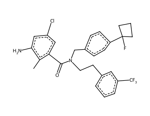 Cc1c(N)cc(Cl)cc1C(=O)N(CCc1cccc(C(F)(F)F)c1)Cc1ccc(C2(F)CCC2)cc1